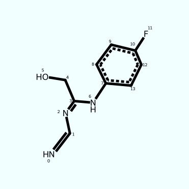 N=C/N=C(/CO)Nc1ccc(F)cc1